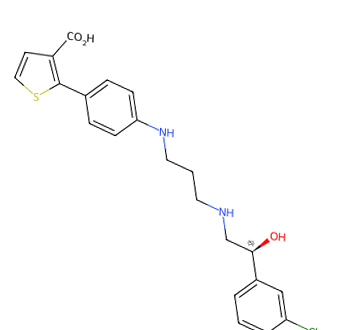 O=C(O)c1ccsc1-c1ccc(NCCCNC[C@@H](O)c2cccc(Cl)c2)cc1